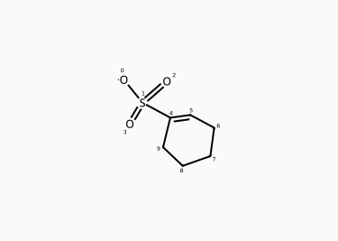 [O]S(=O)(=O)C1=CCCCC1